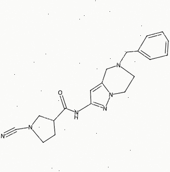 N#CN1CCC(C(=O)Nc2cc3n(n2)CCN(Cc2ccccc2)C3)C1